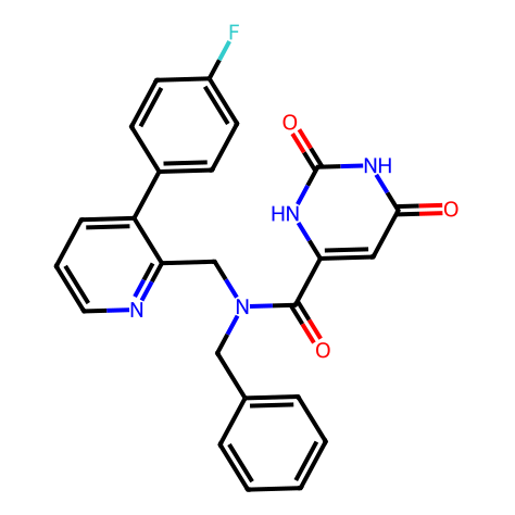 O=C(c1cc(=O)[nH]c(=O)[nH]1)N(Cc1ccccc1)Cc1ncccc1-c1ccc(F)cc1